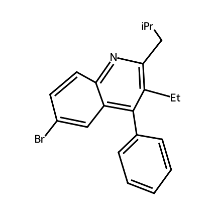 CCc1c(CC(C)C)nc2ccc(Br)cc2c1-c1ccccc1